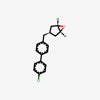 Clc1ccc(-c2ccc(C[C@H]3C[C@@H]4O[C@@H]4C3)cc2)cc1